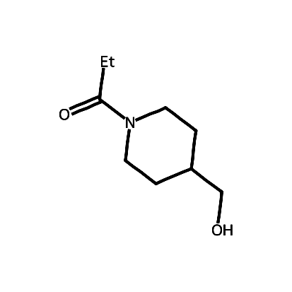 CCC(=O)N1CCC(CO)CC1